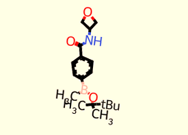 CB(OC(C)(C)C(C)(C)C)c1ccc(C(=O)NC2COC2)cc1